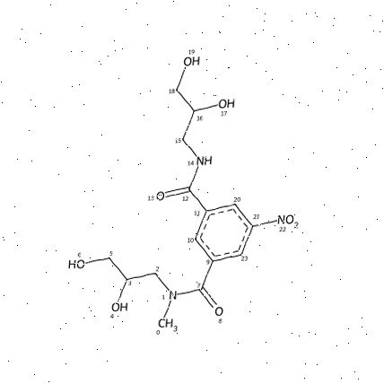 CN(CC(O)CO)C(=O)c1cc(C(=O)NCC(O)CO)cc([N+](=O)[O-])c1